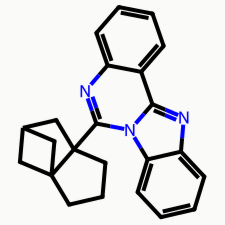 c1ccc2c(c1)nc(C13CCCC14CC(C4)C3)n1c3ccccc3nc21